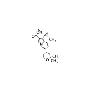 C[C@H]1C[C@]1(C#N)c1c(C(=O)O)cn2cc([C@H]3CCOC(C)(C)C3)ccc12